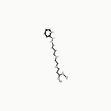 CCOC(CCOCCOCCCCSSc1ccccn1)OCC